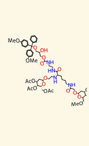 COCC1OC(OCC(=O)NCCCCC(NCCOC2CC(OC(C)=O)C(OC(C)=O)[C@@H](COC(C)=O)O2)C(=O)NCCNC(=O)OCC(O)COC(c2ccccc2)(c2ccc(OC)cc2)c2ccc(OC)cc2)CC(OC(C)=O)C1OC